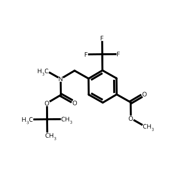 COC(=O)c1ccc(CN(C)C(=O)OC(C)(C)C)c(C(F)(F)F)c1